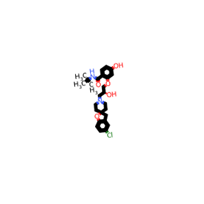 CC(C)(C)NC(=O)c1ccc(O)cc1OC[C@@H](O)CN1CCC2(CC1)Cc1cc(Cl)ccc1O2